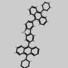 c1ccc2c(C3CCCCC3)c3ccccc3c(-c3ccc4c(c3)oc3ccc(-c5c6ccccc6c(C6CCCCC6)c6ccccc56)cc34)c2c1